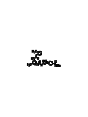 CNC(=O)C1CCC([n+]2cc([N-]C(=O)Nc3cc(NC(=O)Cc4ccccc4C)cc(C(F)(F)F)c3)on2)CC1